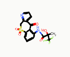 CC(O)(C(=O)Nc1cccc2c1C(=O)c1cccnc1CS2(=O)=O)C(F)(F)F